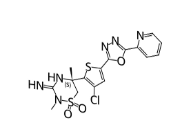 CN1C(=N)N[C@](C)(c2sc(-c3nnc(-c4ccccn4)o3)cc2Cl)CS1(=O)=O